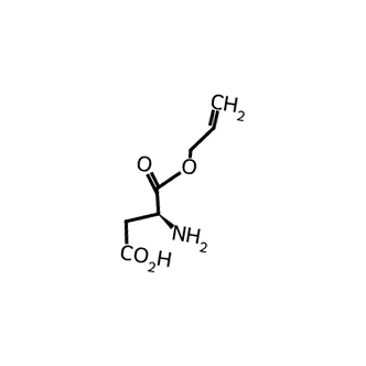 C=CCOC(=O)[C@@H](N)CC(=O)O